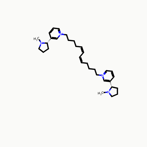 CN1CCC[C@H]1c1ccc[n+](CCCC/C=C\C=C/CCCC[n+]2cccc([C@@H]3CCCN3C)c2)c1